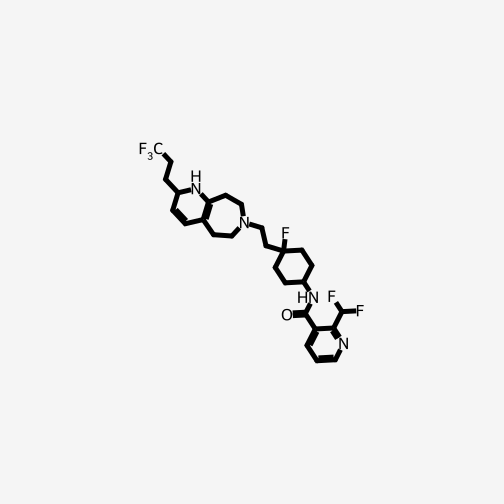 O=C(NC1CCC(F)(CCN2CCC3=C(CC2)NC(CCC(F)(F)F)C=C3)CC1)c1cccnc1C(F)F